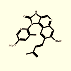 C=C(C)/C=C/c1cc2c(cc1OC)ncc1[nH]c(=O)n(-c3ncc(OC)cc3F)c12